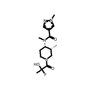 C[C@@H]1CN(C(=O)C(C)(O)F)CC[C@@H]1N(C)C(=O)c1cnn(C)c1